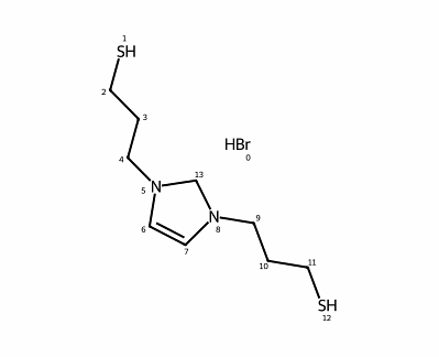 Br.SCCCN1C=CN(CCCS)C1